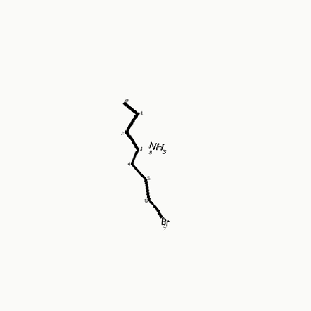 CCCCCCCBr.N